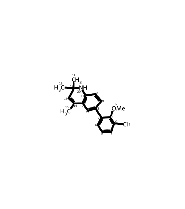 COc1c(Cl)cccc1-c1ccc2c(c1)C(C)=CC(C)(C)N2